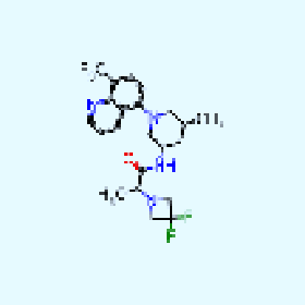 CC(C(=O)N[C@@H]1C[C@H](C)CN(c2ccc(C(F)(F)F)c3ncccc23)C1)N1CC(F)(F)C1